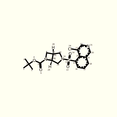 CC(C)(C)OC(=O)N1C[C@@H]2CN(S(=O)(=O)c3cccc4cncc(Cl)c34)C[C@@H]21